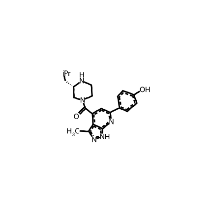 Cc1n[nH]c2nc(-c3ccc(O)cc3)cc(C(=O)N3CCN[C@@H](CC(C)C)C3)c12